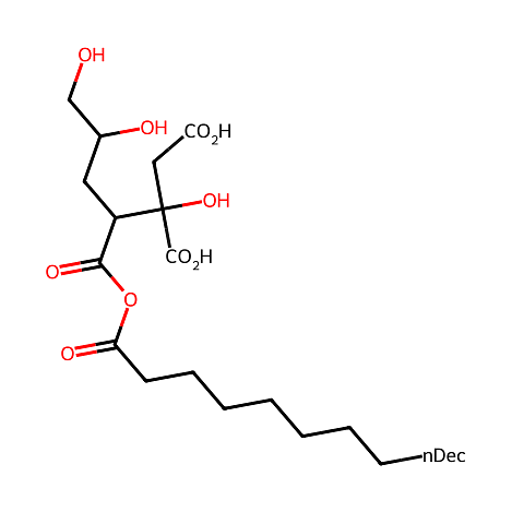 CCCCCCCCCCCCCCCCCC(=O)OC(=O)C(CC(O)CO)C(O)(CC(=O)O)C(=O)O